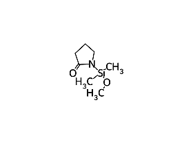 CO[Si](C)(C)N1CCCC1=O